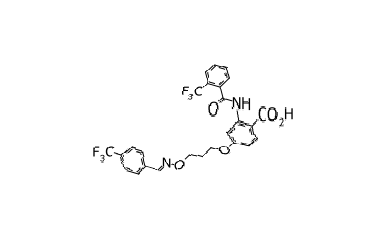 O=C(O)c1ccc(OCCCO/N=C/c2ccc(C(F)(F)F)cc2)cc1NC(=O)c1ccccc1C(F)(F)F